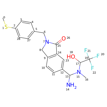 CSc1ccc(CN2Cc3ccc(C(N)N(C)C(O)C(F)(F)F)cc3C2=O)cc1